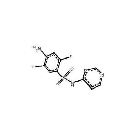 Nc1cc(F)c(S(=O)(=O)Nc2ccncn2)cc1F